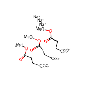 COOC(=O)CCC(=O)[O-].COOC(=O)CCC(=O)[O-].COOC(=O)CCC(=O)[O-].[Na+].[Na+].[Na+]